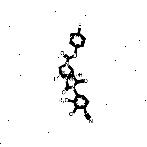 Cc1c(N2C(=O)[C@@H]3C4C[C@H](CN4C(=O)Oc4ccc(F)cc4)N3C2=O)ccc(C#N)c1Cl